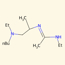 CCCCN(CC)CC(C)/N=C(\C)NCC